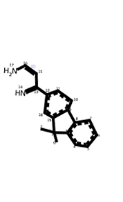 CC1(C)c2ccccc2-c2ccc(C(=N)/C=C\N)cc21